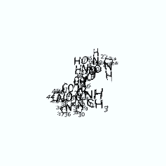 C[C@H](NC(=O)CNC(=O)[C@H](CO)NC(=O)[C@H](CO)NC(=O)[C@@H]1CCCN1)C(=O)N1CCC[C@H]1C(=O)N1CCC[C@H]1C(=O)N1CCC[C@H]1C(=O)O